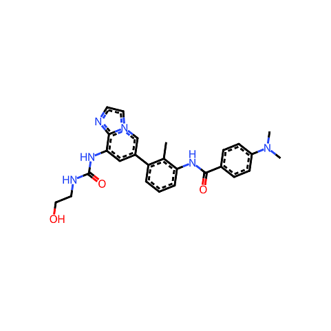 Cc1c(NC(=O)c2ccc(N(C)C)cc2)cccc1-c1cc(NC(=O)NCCO)c2nccn2c1